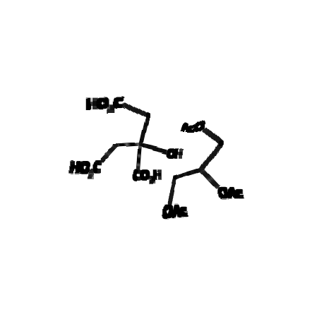 CC(=O)OCC(COC(C)=O)OC(C)=O.O=C(O)CC(O)(CC(=O)O)C(=O)O